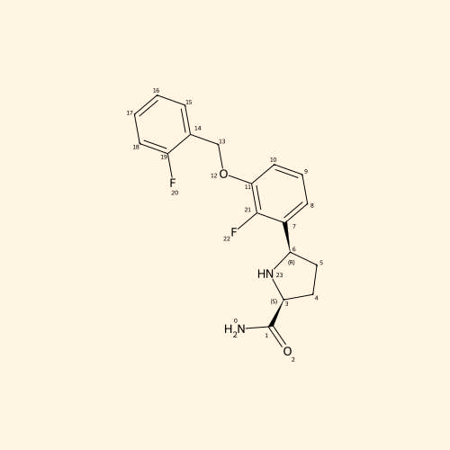 NC(=O)[C@@H]1CC[C@H](c2cccc(OCc3ccccc3F)c2F)N1